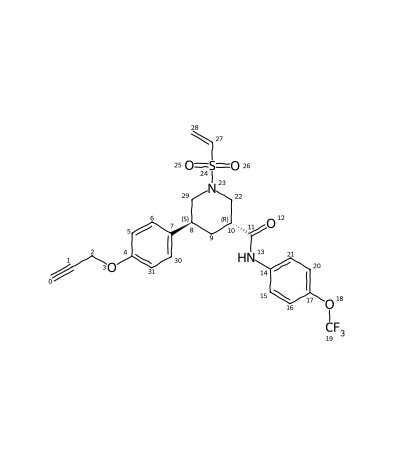 C#CCOc1ccc([C@@H]2C[C@@H](C(=O)Nc3ccc(OC(F)(F)F)cc3)CN(S(=O)(=O)C=C)C2)cc1